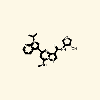 CNc1cc(-c2cn(C(C)C)c3ncccc23)nc2c(C(=O)NC3COC[C@@H]3O)cnn12